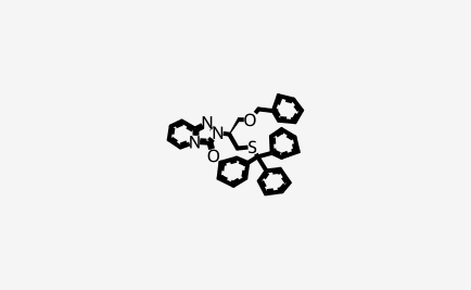 O=c1n([C@@H](COCc2ccccc2)CSC(c2ccccc2)(c2ccccc2)c2ccccc2)nc2ccccn12